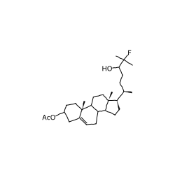 CC(=O)OC1CC[C@@]2(C)C(=CCC3C2CC[C@@]2(C)C3CC[C@@H]2[C@H](C)CCC(O)C(C)(C)F)C1